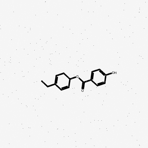 CCC1=CCC(OC(=O)c2ccc(O)cc2)C=C1